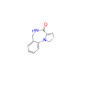 O=C1NCc2ccccc2N2CCC=C12